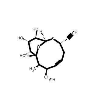 C#C[C@@H]1C/C=C\[C@@H](C)[C@@H](N)[C@H]2O[C@H](S1)[C@H](O)[C@@H](O)[C@H]2O.Cl